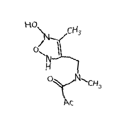 CC(=O)C(=O)N(C)CC1=C(C)N(O)ON1